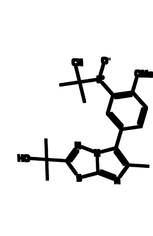 COc1ccc(-c2c(C)nc3sc(C(C)(C)O)nn23)cc1[S+]([O-])C(C)(C)C#N